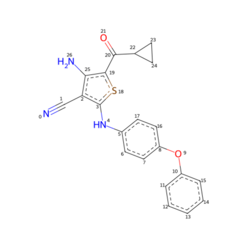 N#Cc1c(Nc2ccc(Oc3ccccc3)cc2)sc(C(=O)C2CC2)c1N